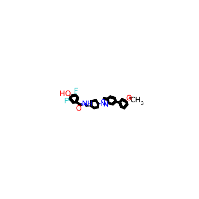 COc1cccc(-c2ccc3cn([C@H]4CC[C@H](CNC(=O)c5cc(F)c(O)c(F)c5)CC4)nc3c2)c1